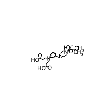 CC(C)(C)OC(=O)N1CCN(Cc2cccc(N(CCC(=O)O)CCC(=O)O)c2)CC1